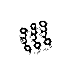 COc1ccc(C(=O)CC(CC2CCCCC2)C(=O)O)cc1.COc1ccc(C(=O)CC(Cc2ccccc2)C(=O)O)cc1.O=C(CC(Cc1ccccc1)C(=O)O)c1ccc(F)cc1